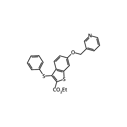 CCOC(=O)c1sc2cc(OCc3cccnc3)ccc2c1Sc1ccccc1